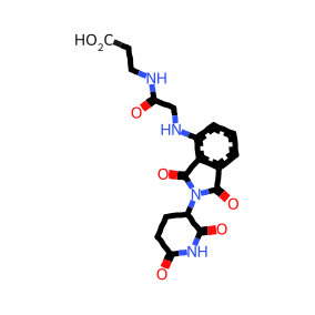 O=C(O)CCNC(=O)CNc1cccc2c1C(=O)N(C1CCC(=O)NC1=O)C2=O